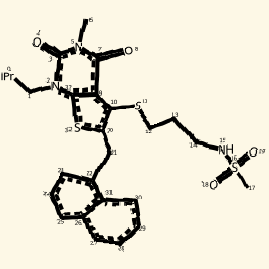 CC(C)Cn1c(=O)n(C)c(=O)c2c(SCCCNS(C)(=O)=O)c(Cc3cccc4ccccc34)sc21